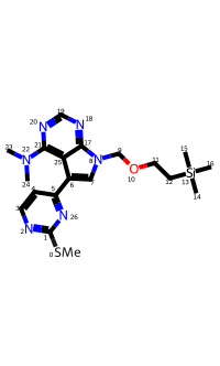 CSc1nccc(-c2cn(COCC[Si](C)(C)C)c3ncnc(N(C)C)c23)n1